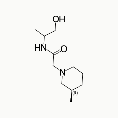 CC(CO)NC(=O)CN1CCC[C@@H](C)C1